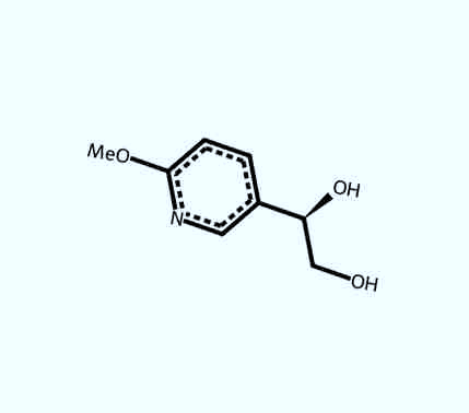 COc1ccc([C@@H](O)CO)cn1